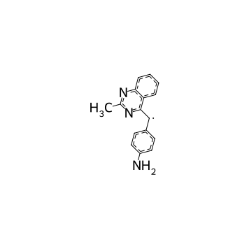 Cc1nc([CH]c2ccc(N)cc2)c2ccccc2n1